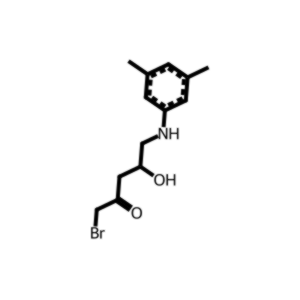 Cc1cc(C)cc(NCC(O)CC(=O)CBr)c1